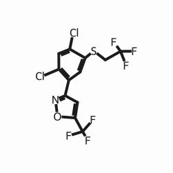 FC(F)(F)CSc1cc(-c2cc(C(F)(F)F)on2)c(Cl)cc1Cl